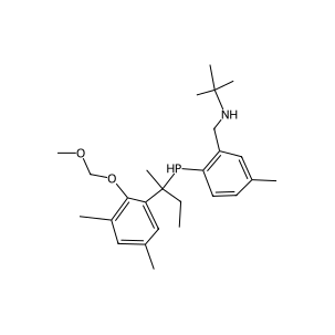 CCC(C)(Pc1ccc(C)cc1CNC(C)(C)C)c1cc(C)cc(C)c1OCOC